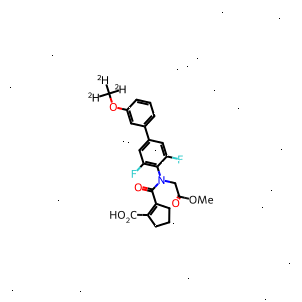 [2H]C([2H])([2H])Oc1cccc(-c2cc(F)c(N(CC(=O)OC)C(=O)C3=C(C(=O)O)CCC3)c(F)c2)c1